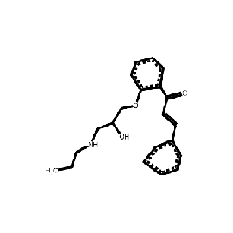 CCCNCC(O)COc1ccccc1C(=O)C=Cc1ccccc1